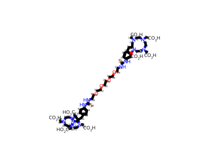 O=C(O)CN1CCN(CC(=O)O)CCN(CC(=O)O)C(Cc2ccc(NC(=S)NCCOCCOCCOCCOCCNC(=S)Nc3ccc(CC4C[N+]5(CC(=O)O)CCN(CC(=O)O)CC[N+]6(CC(=O)O)CC[N+]4(CC(=O)O)CN65)cc3)cc2)CN(CC(=O)O)CC1